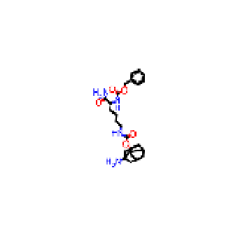 NC(=O)[C@H](CCCCNC(=O)OC12CC3CC(CC(N)(C3)C1)C2)NC(=O)OCc1ccccc1